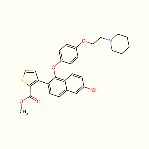 COC(=O)c1sccc1-c1ccc2cc(O)ccc2c1Oc1ccc(OCCN2CCCCC2)cc1